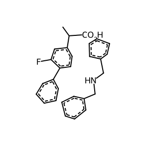 CC(C(=O)O)c1ccc(-c2ccccc2)c(F)c1.c1ccc(CNCc2ccccc2)cc1